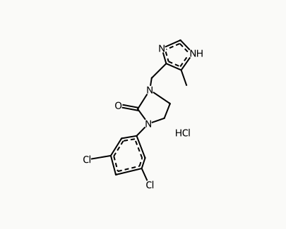 Cc1[nH]cnc1CN1CCN(c2cc(Cl)cc(Cl)c2)C1=O.Cl